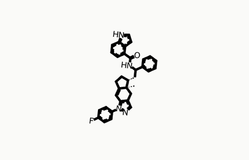 C[C@]12Cc3cnn(-c4ccc(F)cc4)c3C=C1CC[C@@H]2CC(NC(=O)c1cccc2[nH]ccc12)c1ccccc1